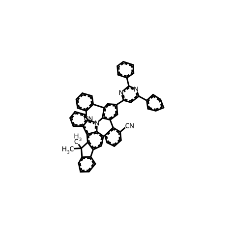 CC1(C)c2ccccc2-c2ccc3c(c21)c1ccccc1n3-c1c(-c2ccccc2C#N)cc(-c2cc(-c3ccccc3)nc(-c3ccccc3)n2)cc1-c1ccccc1C#N